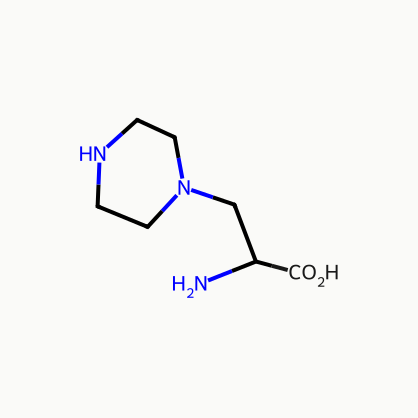 NC(CN1CCNCC1)C(=O)O